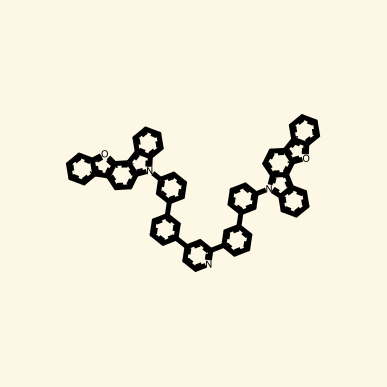 c1cc(-c2cccc(-n3c4ccccc4c4c5oc6ccccc6c5ccc43)c2)cc(-c2ccnc(-c3cccc(-c4cccc(-n5c6ccccc6c6c7oc8ccccc8c7ccc65)c4)c3)c2)c1